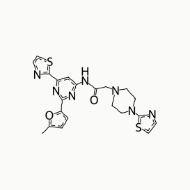 Cc1ccc(-c2nc(NC(=O)CN3CCN(c4nccs4)CC3)cc(-c3nccs3)n2)o1